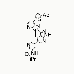 CC(=O)c1ccc(-c2ccnc3[nH]c(-c4n[nH]c5ncc(-c6cncc(NC(=O)C(C)C)c6)cc45)nc23)s1